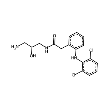 NCC(O)CNC(=O)Cc1ccccc1Nc1c(Cl)cccc1Cl